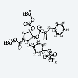 CC(C)(C)OC(=O)O[C@H]1CN(C(=O)OC(C)(C)C)[C@H](Cc2ccc(OS(=O)(=O)C(F)(F)F)cc2)[C@@H]1OC(=O)NCc1ccccc1